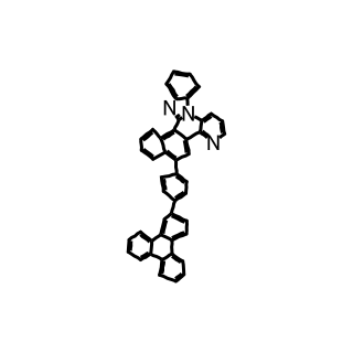 c1ccc2c(c1)nc1c3c4ccccc4c(-c4ccc(-c5ccc6c7ccccc7c7ccccc7c6c5)cc4)cc3c3ncccc3n21